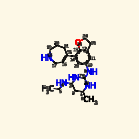 CC1CC(NCC(F)(F)F)NC(Nc2cc3c(c(C4=CCNCCC4)c2)OCC3)N1